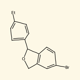 CCc1ccc(C2OCc3cc(Br)ccc32)cc1